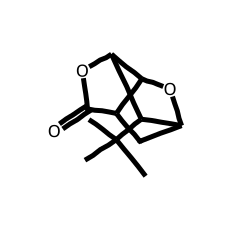 CC(C)(C)C1C2CC3C(=O)OC1C3O2